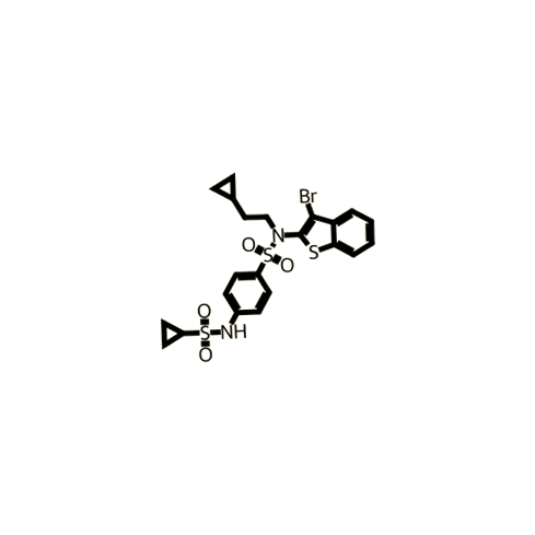 O=S(=O)(Nc1ccc(S(=O)(=O)N(CCC2CC2)c2sc3ccccc3c2Br)cc1)C1CC1